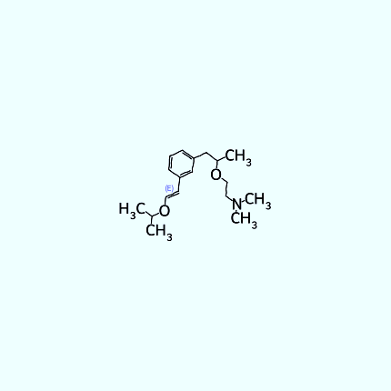 CC(C)O/C=C/c1cccc(CC(C)OCCN(C)C)c1